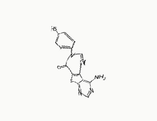 Nc1ncnc2sc3c(=O)n(-c4ccc(S)cc4)cnc3c12